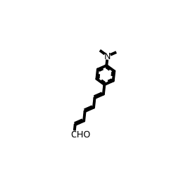 CN(C)c1ccc(/C=C/C=C/C=C/C=O)cc1